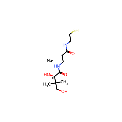 CC(C)(CO)[C@@H](O)C(=O)NCCC(=O)NCCS.[Na]